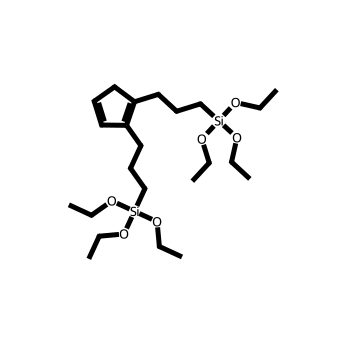 CCO[Si](CCCC1=C(CCC[Si](OCC)(OCC)OCC)CC=C1)(OCC)OCC